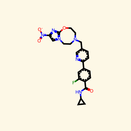 O=C(NC1CC1)c1ccc(-c2ccc(CN3CCOc4nc([N+](=O)[O-])cn4CC3)cn2)cc1F